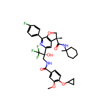 COc1cc(C(=O)NC[C@](O)(c2cc3c(c(-c4ccc(F)cc4)n2)OC[C@]3(C)C(=O)NC2(C)CCCCC2)C(F)(F)F)ccc1OC1CC1